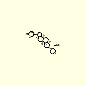 C[C@]12CC[C@H](N3CCOC[C@H]3CN)C[C@H]1CC[C@@H]1[C@@H]2CC[C@]2(C)[C@@H](c3ccc(=O)oc3)CC[C@]12O